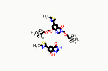 Cc1nc(-c2cc(O)c3nc[nH]c(=O)c3c2)cs1.Cc1nc(-c2cc(OCOCC[Si](C)(C)C)c3ncn(COCC[Si](C)(C)C)c(=O)c3c2)cs1